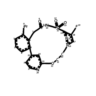 CC(C)c1cccc2c1CC(=O)NS(=O)(=O)c1nn(cc1F)CCOc1cc-2ccn1